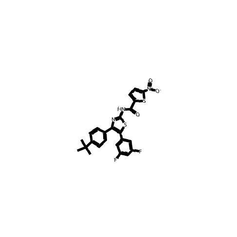 CC(C)(C)c1ccc(-c2nc(NC(=O)c3ccc([N+](=O)[O-])s3)sc2-c2cc(F)cc(F)c2)cc1